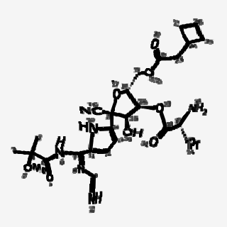 COC(C)(C)C(=O)N/C(=N/C=N)c1ccc([C@]2(C#N)O[C@H](COC(=O)CC3CCC3)[C@@H](OC(=O)[C@H](N)C(C)C)[C@H]2O)[nH]1